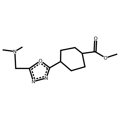 COC(=O)C1CCC(c2nnc(CN(C)C)o2)CC1